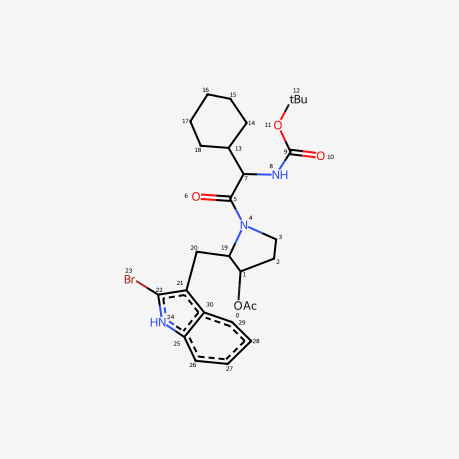 CC(=O)OC1CCN(C(=O)C(NC(=O)OC(C)(C)C)C2CCCCC2)C1Cc1c(Br)[nH]c2ccccc12